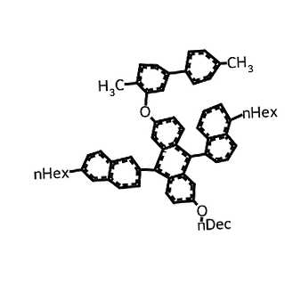 CCCCCCCCCCOc1ccc2c(-c3ccc4cc(CCCCCC)ccc4c3)c3cc(Oc4cc(-c5ccc(C)cc5)ccc4C)ccc3c(-c3cccc4c(CCCCCC)cccc34)c2c1